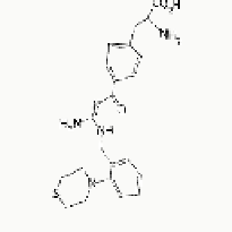 NC(=NC(=O)c1ccc(CC(N)C(=O)O)cc1)NCc1ccccc1N1CCSCC1